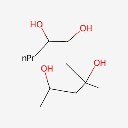 CC(O)CC(C)(C)O.CCCC(O)CO